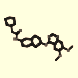 COc1cc2ncnc(Oc3ccc4cc(NC(=O)Cc5ccccc5)ccc4c3)c2cc1OC